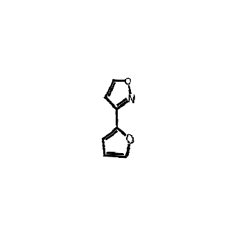 c1coc(-c2ccon2)c1